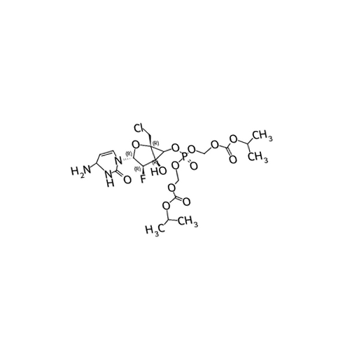 CC(C)OC(=O)OCOP(=O)(OCOC(=O)OC(C)C)OC1[C@@]2(CCl)O[C@@H](N3C=CC(N)NC3=O)[C@H](F)[C@@]12O